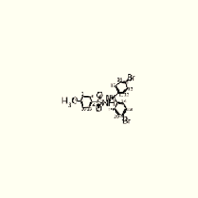 Cc1ccc(S(=O)(=O)NN=C(c2ccc(Br)cc2)c2ccc(Br)cc2)cc1